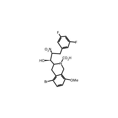 COc1ccc(Br)c2c1CN(C(=O)O)C([C@@H](O)[C@H](Cc1cc(F)cc(F)c1)[N+](=O)[O-])C2